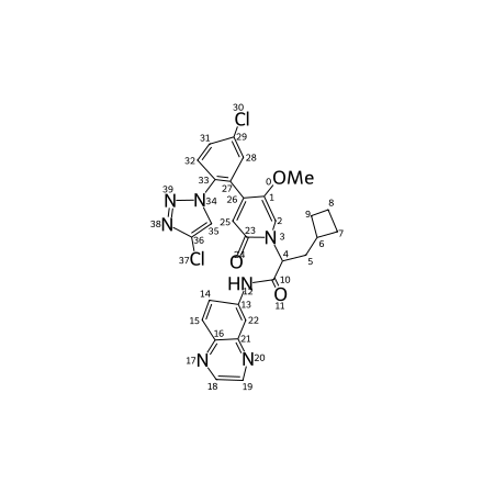 COc1cn(C(CC2CCC2)C(=O)Nc2ccc3nccnc3c2)c(=O)cc1-c1cc(Cl)ccc1-n1cc(Cl)nn1